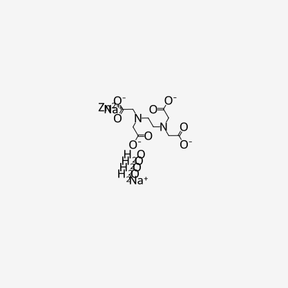 O.O.O.O.O=C([O-])CN(CCN(CC(=O)[O-])CC(=O)[O-])CC(=O)[O-].[Na+].[Na+].[Zn+2]